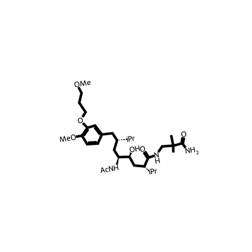 COCCCOc1cc(C[C@@H](C[C@H](NC(C)=O)[C@@H](O)C[C@H](C(=O)NCC(C)(C)C(N)=O)C(C)C)C(C)C)ccc1OC